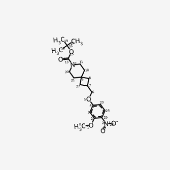 COc1cc(OCC2CC3(CCN(C(=O)OC(C)(C)C)CC3)C2)ccc1[N+](=O)[O-]